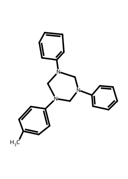 Cc1ccc(N2CN(c3ccccc3)CN(c3ccccc3)C2)cc1